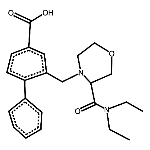 CCN(CC)C(=O)C1COCCN1Cc1cc(C(=O)O)ccc1-c1ccccc1